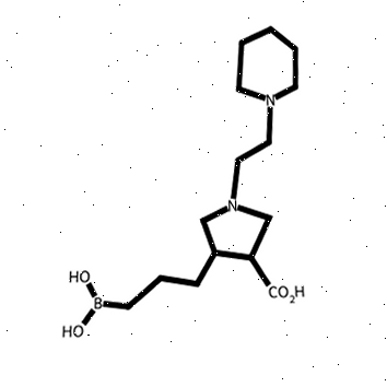 O=C(O)C1CN(CCN2CCCCC2)CC1CCCB(O)O